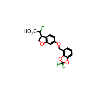 O=C(O)C(F)C1COc2cc(OCc3cccc4c3OC(F)(F)O4)ccc21